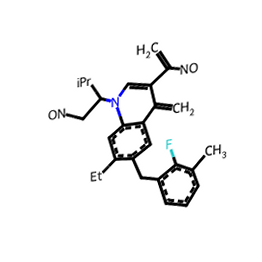 C=C(N=O)C1=CN(C(CN=O)C(C)C)c2cc(CC)c(Cc3cccc(C)c3F)cc2C1=C